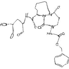 O=CC(CC(=O)O)NC(=O)C1CCCN2C(=O)CCN(NC(=O)OCc3ccccc3)C(=O)N12